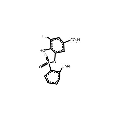 COc1ccccc1S(=O)(=O)Oc1cc(C(=O)O)cc(O)c1O